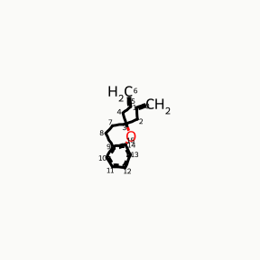 C=CCC1(CC=C)CCc2ccccc2O1